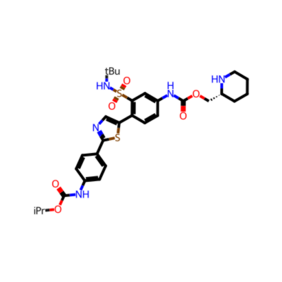 CC(C)OC(=O)Nc1ccc(-c2ncc(-c3ccc(NC(=O)OC[C@H]4CCCCN4)cc3S(=O)(=O)NC(C)(C)C)s2)cc1